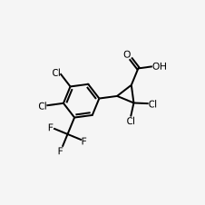 O=C(O)C1C(c2cc(Cl)c(Cl)c(C(F)(F)F)c2)C1(Cl)Cl